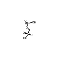 O=[PH](O)OCS(=O)(=O)O